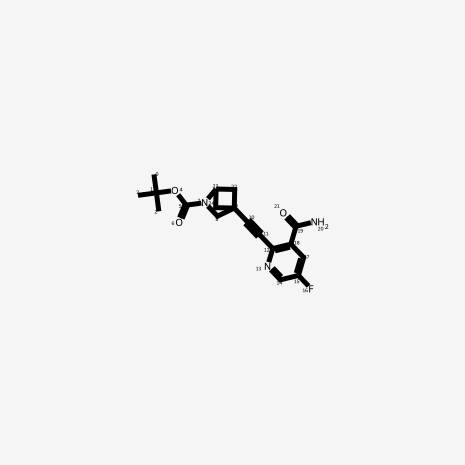 CC(C)(C)OC(=O)N1CC2(C#Cc3ncc(F)cc3C(N)=O)CC1C2